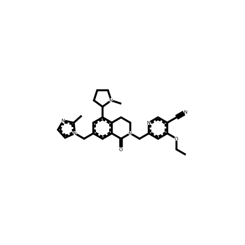 CCOc1cc(CN2CCc3c(cc(Cn4ccnc4C)cc3C3CCCN3C)C2=O)ncc1C#N